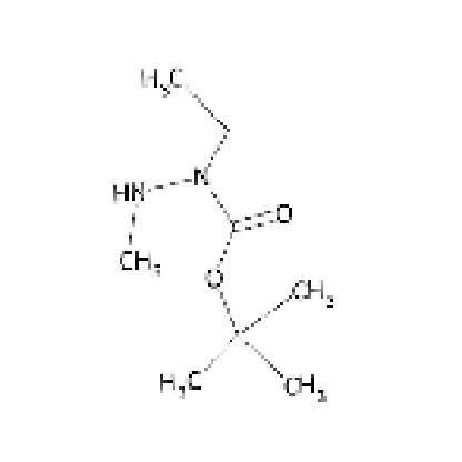 CCN(NC)C(=O)OC(C)(C)C